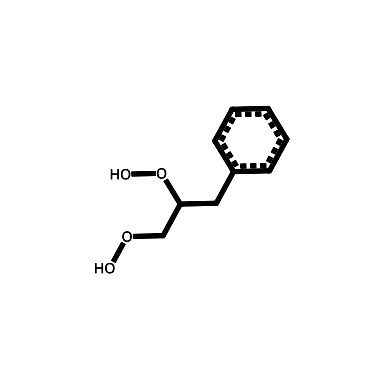 OOCC(Cc1ccccc1)OO